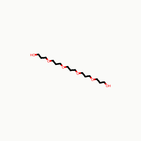 OCCCOCCCOCCCOCCCOCCCO